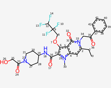 CCc1cc2c(c(OCC(F)(F)C(F)F)c(C(=O)NC3CCN(C(=O)CO)CC3)n2C)c(=O)n1CC(=O)c1ccccc1